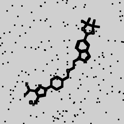 CC1(C)OB(c2ccc3c(cnn3CCOCC3CCC(n4cc([N+](=O)[O-])c(C(F)F)n4)CC3)c2)OC1(C)C